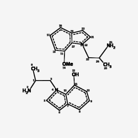 CC(N)Cn1ccc2cccc(O)c21.COc1cccc2ccn(CC(C)N)c12